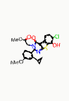 COC(=O)Cn1c(-c2ccc(OC)cc2C2CC2)nc2sc3c(O)c(Cl)ccc3c2c1=O